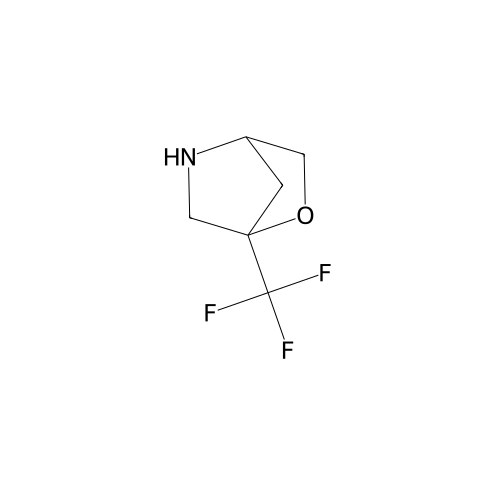 FC(F)(F)C12CNC(CO1)C2